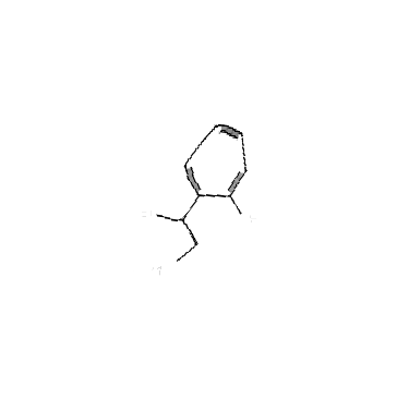 CCCCCCCCC(CC)c1ccccc1O